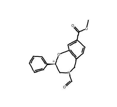 COC(=O)c1ccc2c(c1)O[C@H](c1ccccc1)CN(C=O)C2